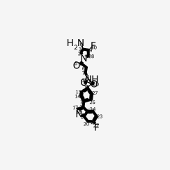 N[C@@H]1CN(C(=O)CCNS(=O)(=O)c2ccc(C3=CN=C4CC(F)=CC=C34)cc2)C[C@H]1F